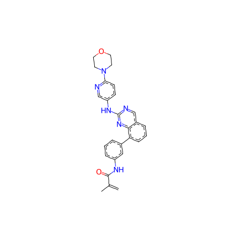 C=C(C)C(=O)Nc1cccc(-c2cccc3cnc(Nc4ccc(N5CCOCC5)nc4)nc23)c1